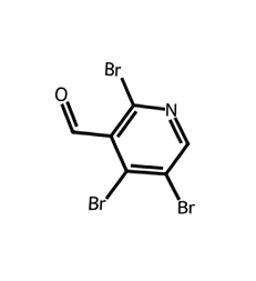 O=Cc1c(Br)ncc(Br)c1Br